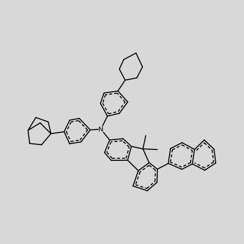 CC1(C)c2cc(N(c3ccc(C4CCCCC4)cc3)c3ccc(C45CCC(CC4)C5)cc3)ccc2-c2cccc(-c3ccc4ccccc4c3)c21